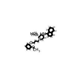 COc1ccccc1OCCCN1CCC(Nc2cccc3ccccc23)CC1.Cl.Cl